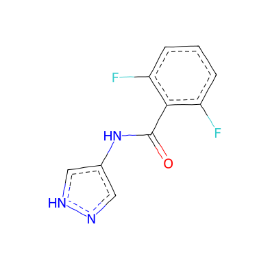 O=C(Nc1cn[nH]c1)c1c(F)cccc1F